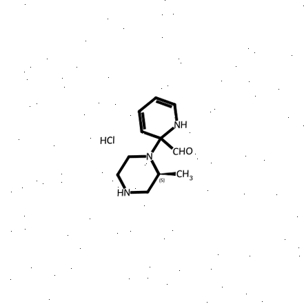 C[C@H]1CNCCN1C1(C=O)C=CC=CN1.Cl